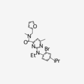 CCN(c1nc(C)cc(C(=O)N(C)Cc2ccco2)n1)c1ccc(C(C)C)cc1Br